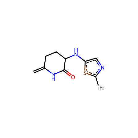 C=C1CCC(Nc2cnc(C(C)C)s2)C(=O)N1